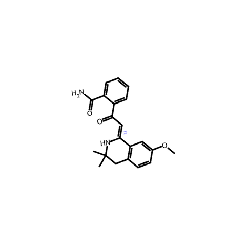 COc1ccc2c(c1)/C(=C/C(=O)c1ccccc1C(N)=O)NC(C)(C)C2